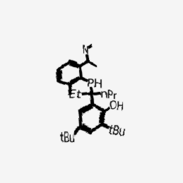 CCCC(CC)(Pc1c(C)cccc1/C(C)=N/C)c1cc(C(C)(C)C)cc(C(C)(C)C)c1O